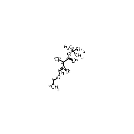 CCOC[PH](=O)C(Cl)C(=O)OC(C)(C)C